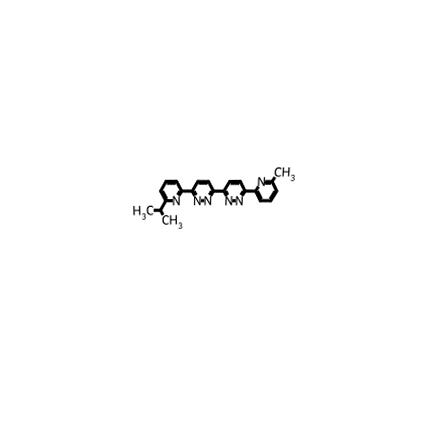 Cc1cccc(-c2ccc(-c3ccc(-c4cccc(C(C)C)n4)nn3)nn2)n1